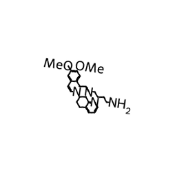 COc1cc2ccnc(CN(CCCCN)C3CCCc4cccnc43)c2cc1OC